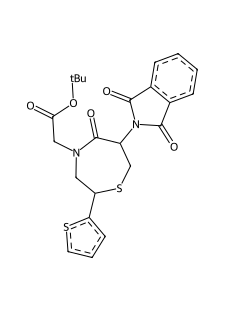 CC(C)(C)OC(=O)CN1CC(c2cccs2)SCC(N2C(=O)c3ccccc3C2=O)C1=O